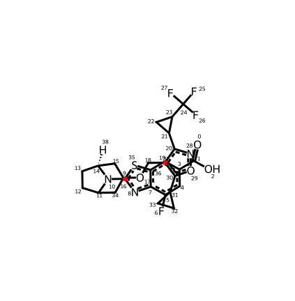 O=C(O)c1cc(F)c2nc(N3C4CC[C@H]3CC(OCc3c(C5CC5C(F)(F)F)noc3C3CC3)C4)sc2c1